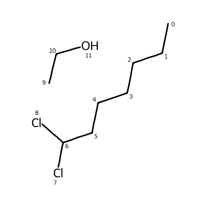 CCCCCCC(Cl)Cl.CCO